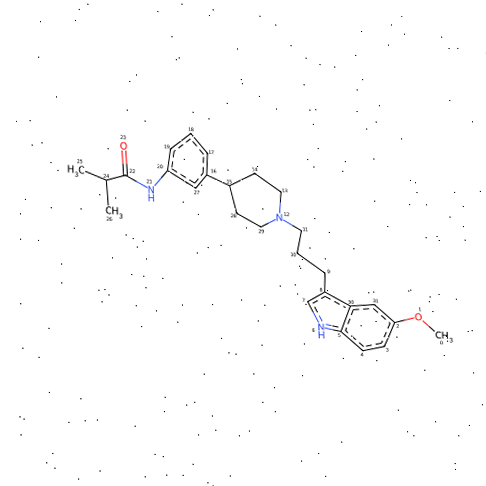 COc1ccc2[nH]cc(CCCN3CCC(c4cccc(NC(=O)C(C)C)c4)CC3)c2c1